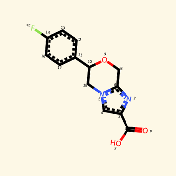 O=C(O)c1cn2c(n1)COC(c1ccc(F)cc1)C2